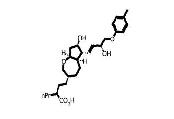 CCCC(CC[C@@H]1CC[C@@H]2[C@@H](C=C[C@@H](O)COc3ccc(C)cc3)[C@H](O)C[C@@H]2OC1)C(=O)O